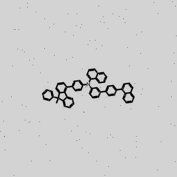 CC1(c2ccccc2)c2ccccc2-c2c(-c3ccc(N(c4cccc(-c5ccc(-c6cccc7ccccc67)cc5)c4)c4cccc5ccccc45)cc3)cccc21